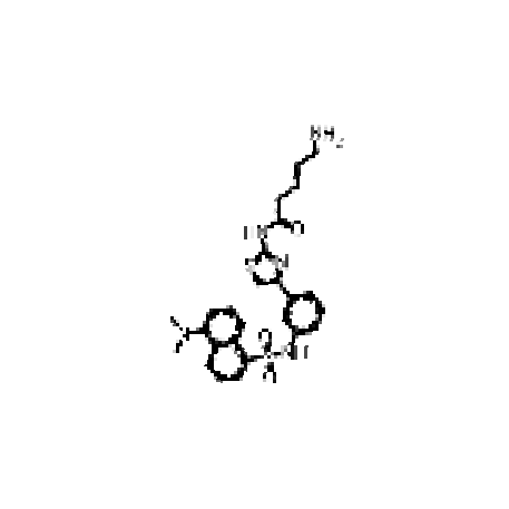 CN(C)c1cccc2c(S(=O)(=O)Nc3cccc(-c4csc(NC(=O)CCCCN)n4)c3)cccc12